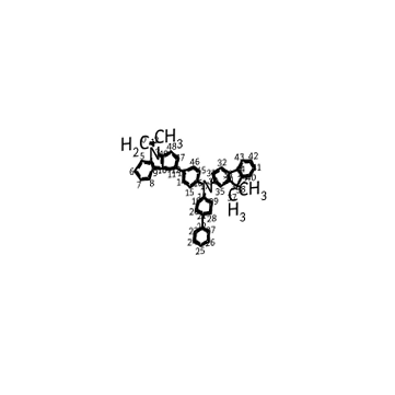 C=C(C)n1c2ccccc2c2cc(-c3ccc(N(c4ccc(-c5ccccc5)cc4)c4ccc5c(c4)C(C)(C)c4ccccc4-5)cc3)ccc21